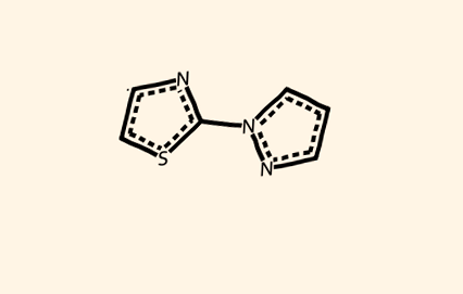 [c]1csc(-n2cccn2)n1